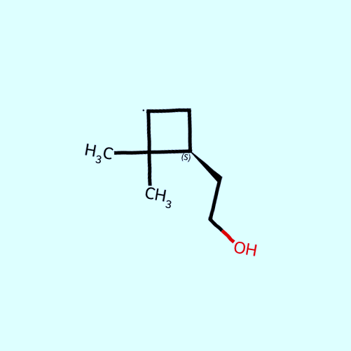 CC1(C)[CH]C[C@H]1CCO